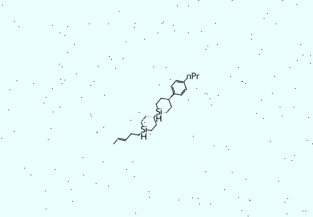 CC=CCC[Si@H]1CC[C@H]([Si@H]2CC[C@H](c3ccc(CCC)cc3)CC2)CC1